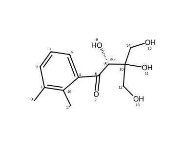 Cc1cccc(C(=O)[C@H](O)C(O)(CO)CO)c1C